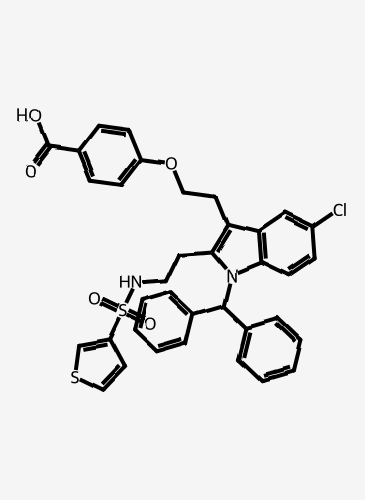 O=C(O)c1ccc(OCCc2c(CCNS(=O)(=O)c3ccsc3)n(C(c3ccccc3)c3ccccc3)c3ccc(Cl)cc23)cc1